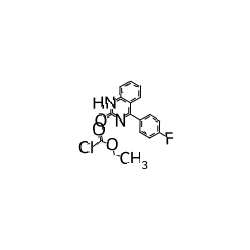 CCOC(=O)Cl.O=c1nc(-c2ccc(F)cc2)c2ccccc2[nH]1